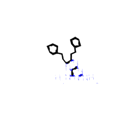 Nc1nc(N)c2nc(CCc3ccccc3)c(CCc3ccccc3)nc2n1